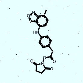 Cc1ccc(Nc2ccc(CC(=O)ON3C(=O)CCC3=O)cc2)c2nonc12